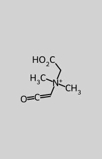 C[N+](C)(C=C=O)CC(=O)O